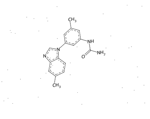 Cc1cc(NC(N)=O)cc(-n2cnc3cc(C)ccc32)c1